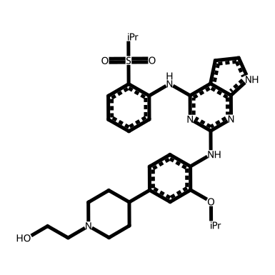 CC(C)Oc1cc(C2CCN(CCO)CC2)ccc1Nc1nc(Nc2ccccc2S(=O)(=O)C(C)C)c2cc[nH]c2n1